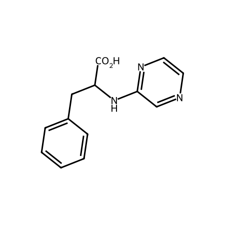 O=C(O)C(Cc1ccccc1)Nc1cnccn1